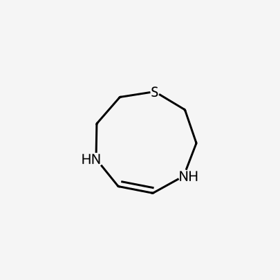 C1=CNCCSCCN1